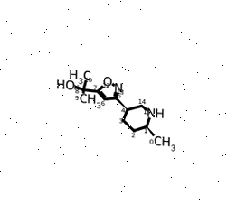 C[C@H]1CC[C@@H](c2cc(C(C)(C)O)on2)CN1